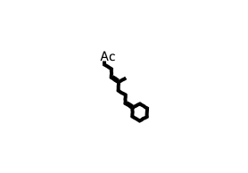 CC(=O)CC/C=C(\C)CCC=C1CCCCC1